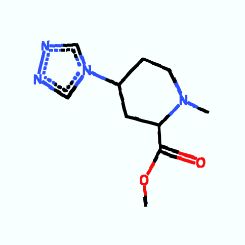 COC(=O)C1CC(n2cnnc2)CCN1C